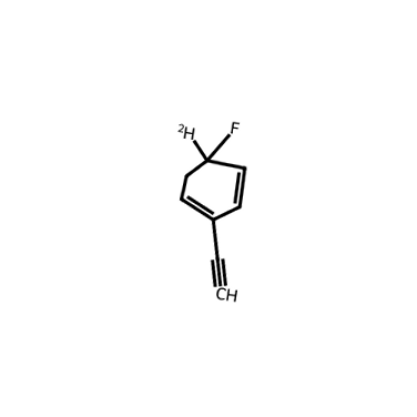 [2H]C1(F)C=CC(C#C)=CC1